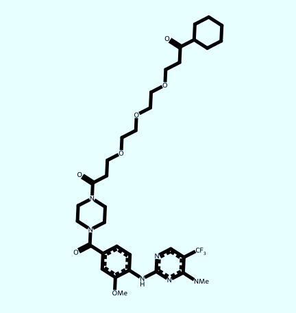 CNc1nc(Nc2ccc(C(=O)N3CCN(C(=O)CCOCCOCCOCCC(=O)C4CCCCC4)CC3)cc2OC)ncc1C(F)(F)F